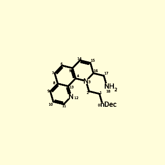 CCCCCCCCCCCCN1c2c(ccc3cccnc23)C=CC1CN